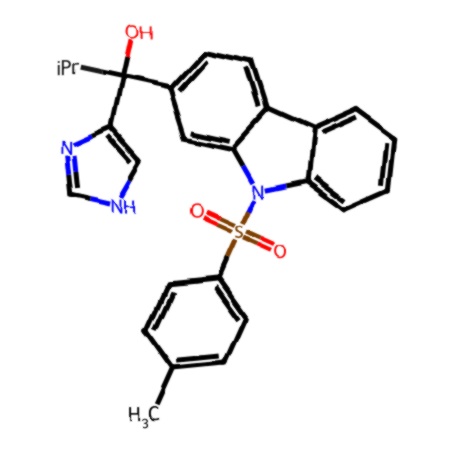 Cc1ccc(S(=O)(=O)n2c3ccccc3c3ccc(C(O)(c4c[nH]cn4)C(C)C)cc32)cc1